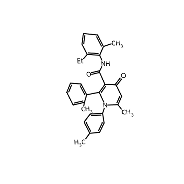 CCc1cccc(C)c1NC(=O)c1c(-c2ccccc2C)n(-c2ccc(C)cc2)c(C)cc1=O